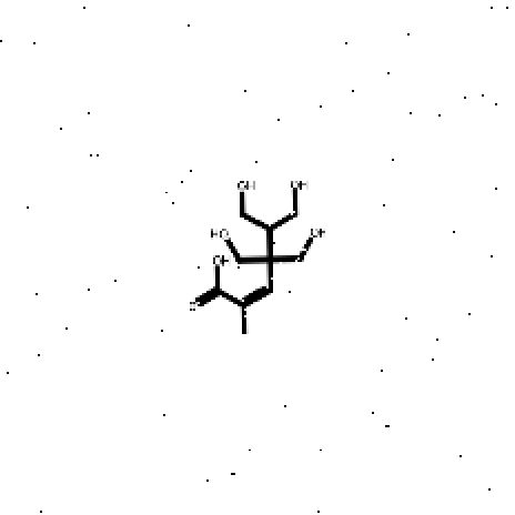 CC(=CC(CO)(CO)C(CO)CO)C(=O)O